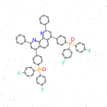 O=P(c1ccc(F)cc1)(c1ccc(F)cc1)c1ccc(-c2cc(-c3ccccc3)nc3c2ccc2c(-c4ccc(P(=O)(c5ccc(F)cc5)c5ccc(F)cc5)cc4)cc(-c4ccccc4)nc23)cc1